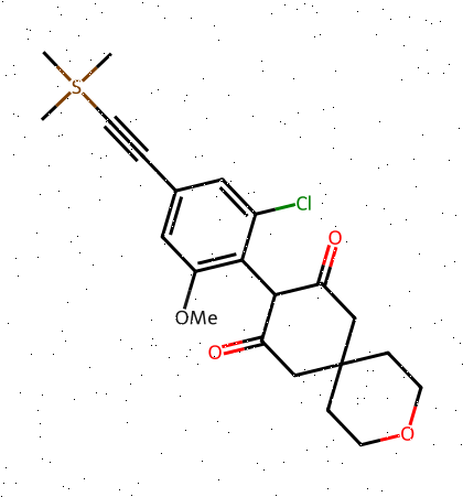 COc1cc(C#CS(C)(C)C)cc(Cl)c1C1C(=O)CC2(CCOCC2)CC1=O